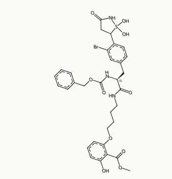 COC(=O)c1c(O)cccc1OCCCCNC(=O)[C@H](Cc1ccc(C2CC(=O)NS2(O)O)c(Br)c1)NC(=O)OCc1ccccc1